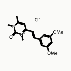 COc1cc(C=Cc2cc(C)n(C)c(=O)[n+]2C)cc(OC)c1.[Cl-]